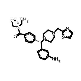 CCN(CC)C(=O)c1ccc([C@@H](c2cccc(N)c2)N2CCN(Cc3nccs3)CC2)cc1